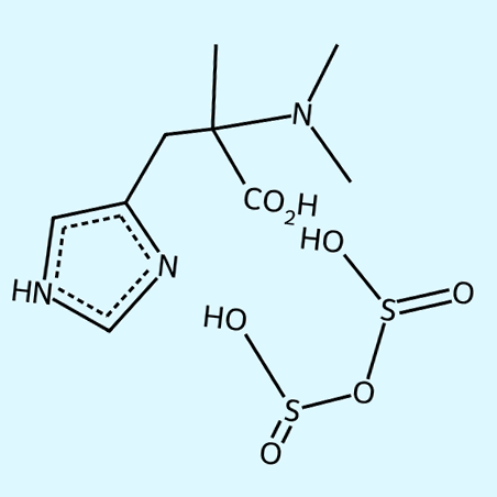 CN(C)C(C)(Cc1c[nH]cn1)C(=O)O.O=S(O)OS(=O)O